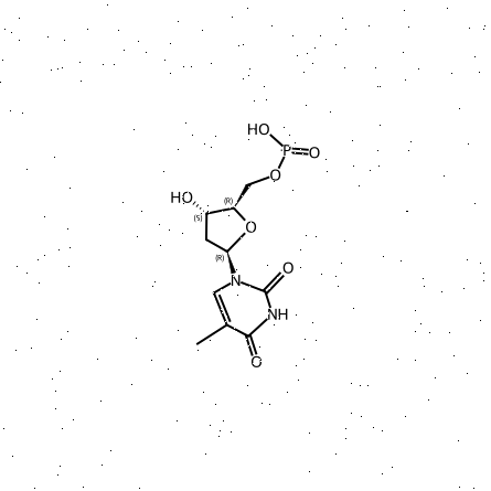 Cc1cn([C@H]2C[C@H](O)[C@@H](CO[P](=O)O)O2)c(=O)[nH]c1=O